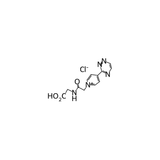 O=C(O)CNC(=O)C[n+]1ccc(-c2nccnn2)cc1.[Cl-]